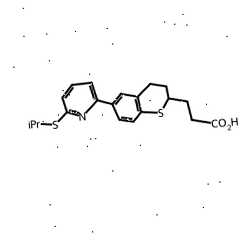 CC(C)Sc1cccc(-c2ccc3c(c2)CCC(CCC(=O)O)S3)n1